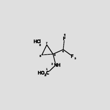 Cl.O=C(O)NC1(C(F)F)CC1